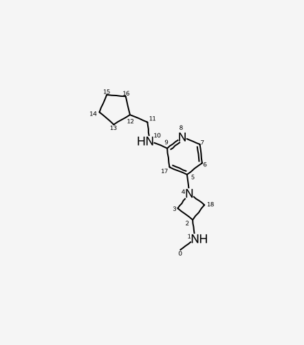 CNC1CN(c2ccnc(NCC3CCCC3)c2)C1